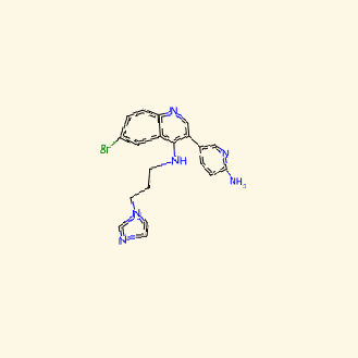 Nc1ccc(-c2cnc3ccc(Br)cc3c2NCCCn2ccnc2)cn1